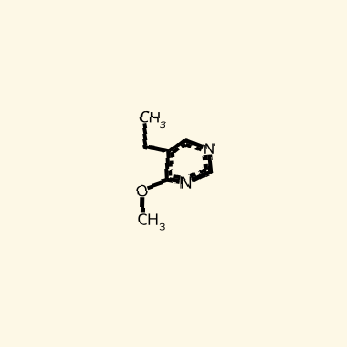 CCc1cncnc1OC